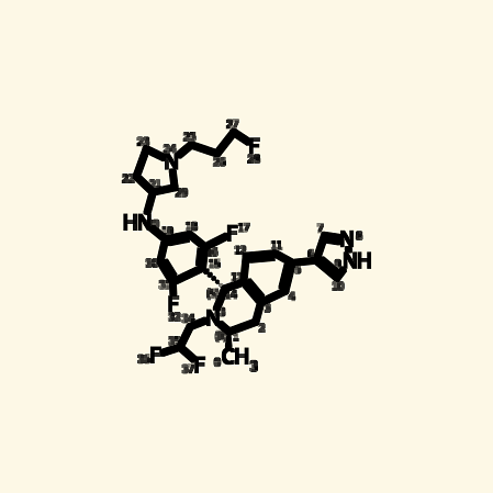 C[C@@H]1Cc2cc(-c3cn[nH]c3)ccc2[C@@H](c2c(F)cc(NC3CCN(CCCF)C3)cc2F)N1CC(F)F